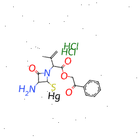 C=C(C)C(C(=O)OCC(=O)c1ccccc1)N1C(=O)C(N)C1[S][Hg].Cl.Cl